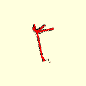 CCN(CC)c1ccc2nc3c4cc(OCC(=O)NC(COCCC(=O)CCCOCCOCCOCCOCCOCCOCCOCCOCCOCCOCCOCCOCCC(=O)CCc5ccc(COc6nccc(N)n6)cc5)(COCCC(=O)NCCOCCOCCOCCOC)COCCC(=O)NCCOCCOCCOCCOCCOCCOCCOCCOC)ccc4c(=O)cc-3oc2c1